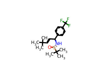 CC(C)(C)C=CC(N[S+]([O-])C(C)(C)C)c1ccc(C(F)(F)F)cc1